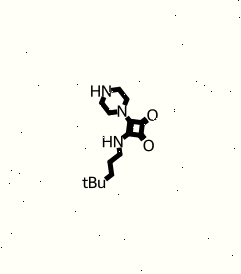 CC(C)(C)CCCNc1c(N2CCNCC2)c(=O)c1=O